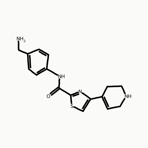 NCc1ccc(NC(=O)c2nc(C3=CCNCC3)cs2)cc1